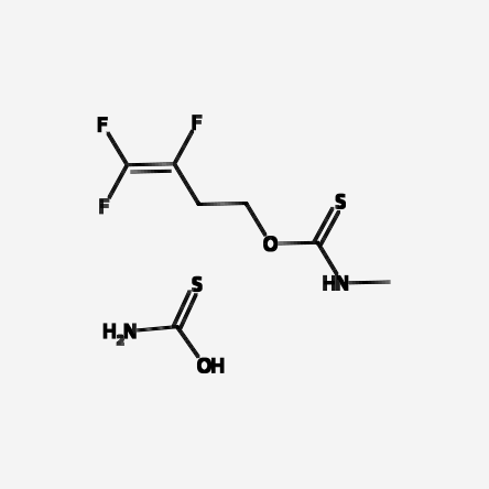 CNC(=S)OCCC(F)=C(F)F.NC(O)=S